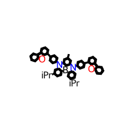 Cc1cc2c3c(c1)N(c1ccc(-c4cccc5c4oc4ccccc45)cc1)c1cc(C(C)C)ccc1B3c1cc(C(C)C)ccc1N2c1ccc(-c2cccc3c2oc2ccccc23)cc1